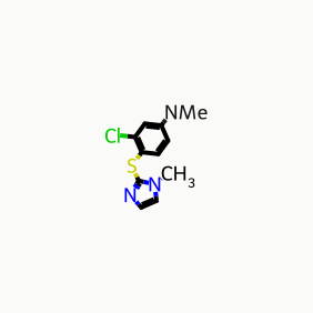 CNc1ccc(Sc2nccn2C)c(Cl)c1